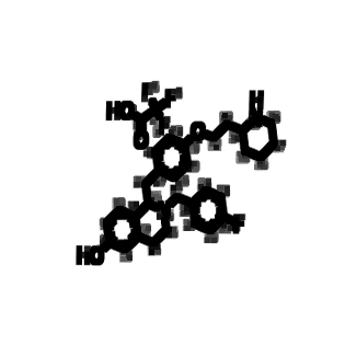 O=C(O)C(F)(F)F.Oc1ccc2c(c1)CCN(Cc1ccc(F)cc1)C2Cc1ccc(OCCC2CCCCN2)cc1